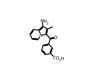 Cc1c(N)c2ccccn2c1C(=O)c1cccc(C(=O)O)c1